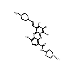 Cc1c(O)c(/C=N/C2CCN(C)CC2)c2nc3c(O)ccc(C(=O)NC4CCN(C)CC4)c3nc2c1O